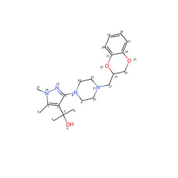 Cc1c(C(C)(C)O)c(N2CCN(CC3COc4ccccc4O3)CC2)nn1C